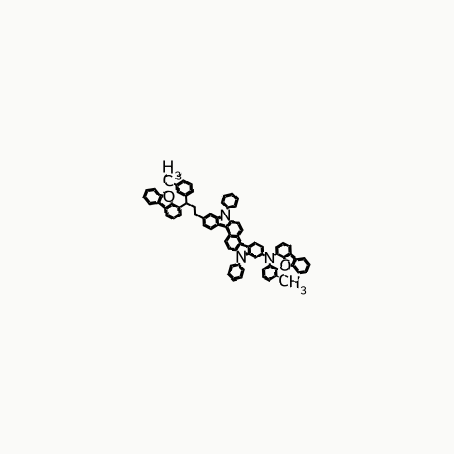 Cc1cccc(C(CCc2ccc3c4c5ccc6c(c5ccc4n(-c4ccccc4)c3c2)c2ccc(N(c3cccc(C)c3)c3cccc4c3oc3ccccc34)cc2n6-c2ccccc2)c2cccc3c2oc2ccccc23)c1